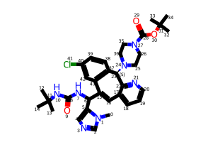 Cn1cncc1C(NC(=O)NC(C)(C)C)C1=Cc2cccnc2[C@@H](N2CCN(C(=O)OC(C)(C)C)CC2)c2ccc(Cl)cc21